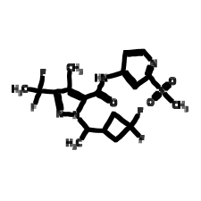 Cc1c(C(C)(F)F)nn(C(C)C2CC(F)(F)C2)c1C(=O)Nc1ccnc(S(C)(=O)=O)c1